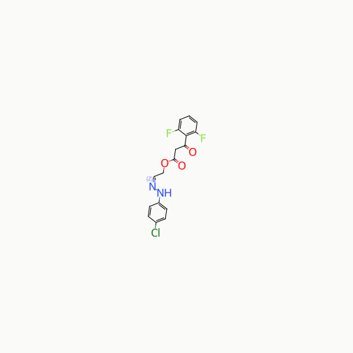 O=C(CC(=O)c1c(F)cccc1F)OC/C=N\Nc1ccc(Cl)cc1